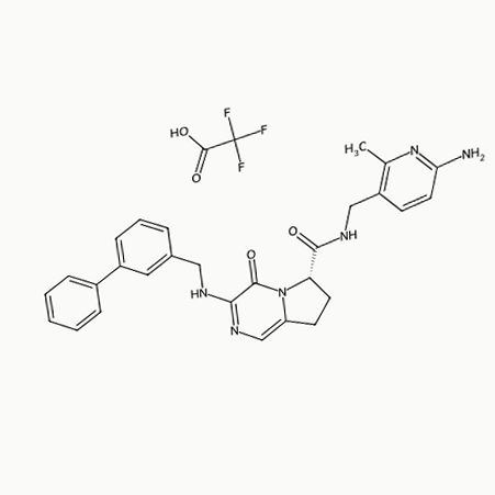 Cc1nc(N)ccc1CNC(=O)[C@@H]1CCc2cnc(NCc3cccc(-c4ccccc4)c3)c(=O)n21.O=C(O)C(F)(F)F